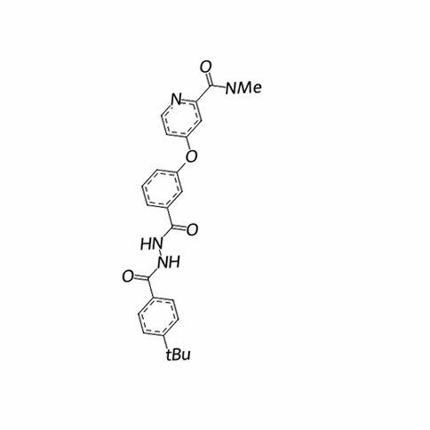 CNC(=O)c1cc(Oc2cccc(C(=O)NNC(=O)c3ccc(C(C)(C)C)cc3)c2)ccn1